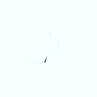 C[C@H]1CNC[C@@H]1CO